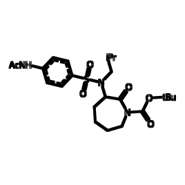 CC(=O)Nc1ccc(S(=O)(=O)N(CC(C)C)C2CCCCN(C(=O)OC(C)(C)C)C2=O)cc1